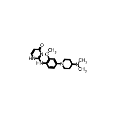 COc1cc(N2CCC(N(C)C)CC2)ccc1Nc1nc(=O)cc[nH]1